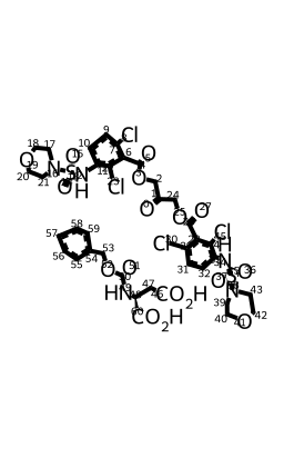 O=C(COC(=O)c1c(Cl)ccc(NS(=O)(=O)N2CCOCC2)c1Cl)COC(=O)c1c(Cl)ccc(NS(=O)(=O)N2CCOCC2)c1Cl.O=C(O)C[C@H](NC(=O)OCc1ccccc1)C(=O)O